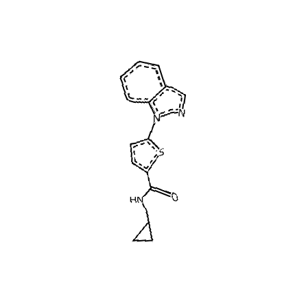 O=C(NC1CC1)c1ccc(-n2ncc3ccccc32)s1